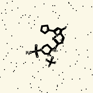 CS(=O)(=O)N1CC[C@@H](Nc2ncc3c(F)cc(C4CCCC4)n3n2)[C@H](OC(F)(F)F)C1